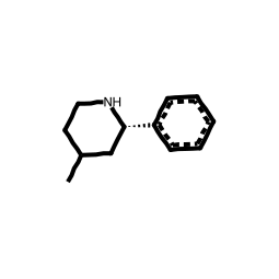 CC1CCN[C@H](c2ccccc2)C1